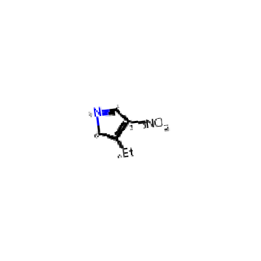 CCC1=C([N+](=O)[O-])C=NC1